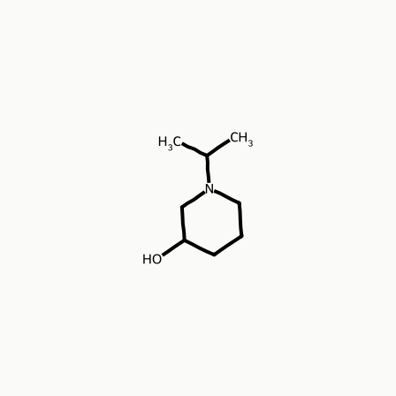 CC(C)N1CCCC(O)C1